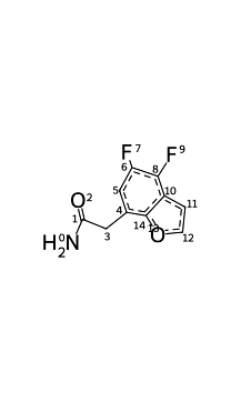 NC(=O)Cc1cc(F)c(F)c2ccoc12